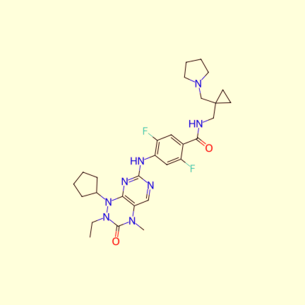 CCN1C(=O)N(C)c2cnc(Nc3cc(F)c(C(=O)NCC4(CN5CCCC5)CC4)cc3F)nc2N1C1CCCC1